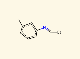 [CH2]CC=Nc1cccc(C)c1